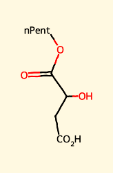 CCCCCOC(=O)C(O)CC(=O)O